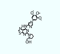 COc1cc(-n2cnc(Nc3nc(N4CCC[C@H]4CO)nc4scnc34)c2)cc(OC)c1OC